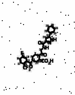 O=C(NCC(=O)N1CCN(C(=O)c2cc(F)ccc2C(F)(F)F)CC1C(=O)O)c1cc(-c2ccccc2)[nH]n1